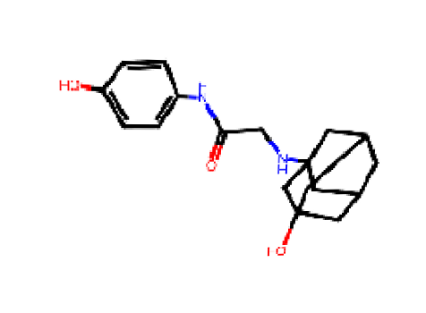 O=C(CNC12CC3CC(CC(O)(C3)C1)C2)Nc1ccc(O)cc1